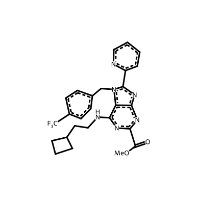 COC(=O)c1nc(NCCC2CCC2)c2c(n1)nc(-c1ccccn1)n2Cc1ccc(C(F)(F)F)cc1